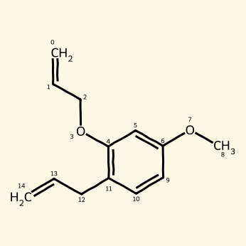 C=CCOc1cc(OC)ccc1CC=C